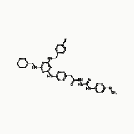 O=C(Cc1ccc(Nc2nc(NCc3ccc(F)cc3)nc(NCC3CCCCC3)n2)cc1)NNC(=S)Nc1ccc(OC(F)(F)F)cc1